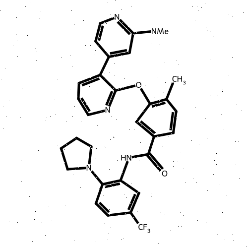 CNc1cc(-c2cccnc2Oc2cc(C(=O)Nc3cc(C(F)(F)F)ccc3N3CCCC3)ccc2C)ccn1